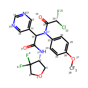 O=C(N[C@@H]1COCC1(F)F)C(c1cncnc1)N(C(=O)[C@H](F)Cl)c1ccc(OC(F)(F)F)cc1